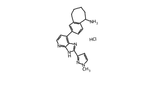 Cl.Cn1ccc(-c2nc3c(-c4ccc5c(c4)CCCCC5N)ccnc3[nH]2)n1